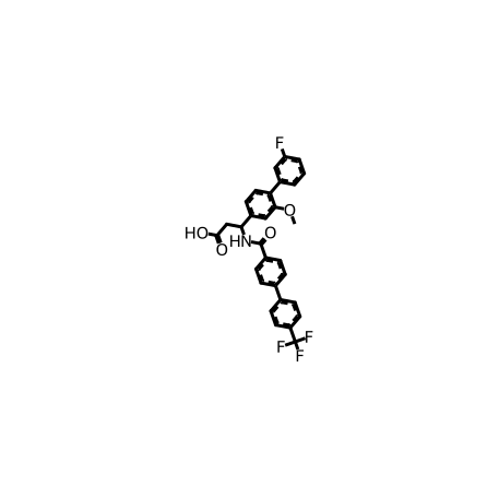 COc1cc(C(CC(=O)O)NC(=O)c2ccc(-c3ccc(C(F)(F)F)cc3)cc2)ccc1-c1cccc(F)c1